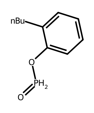 CCCCc1ccccc1O[PH2]=O